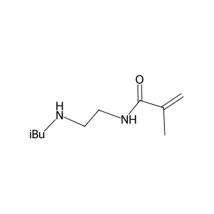 C=C(C)C(=O)NCCNC(C)CC